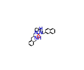 CN(CC1Cc2ccccc2CN1)C(=O)NCc1ccc2ccccc2c1